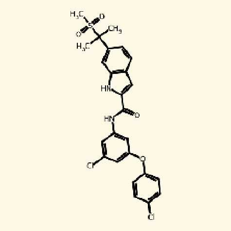 CC(C)(c1ccc2cc(C(=O)Nc3cc(Cl)cc(Oc4ccc(Cl)cc4)c3)[nH]c2c1)S(C)(=O)=O